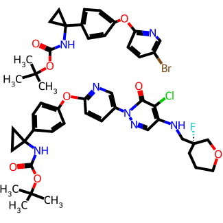 CC(C)(C)OC(=O)NC1(c2ccc(Oc3ccc(-n4ncc(NC[C@]5(F)CCCOC5)c(Cl)c4=O)cn3)cc2)CC1.CC(C)(C)OC(=O)NC1(c2ccc(Oc3ccc(Br)cn3)cc2)CC1